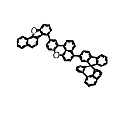 c1ccc2c(c1)-c1ccc(-c3ccc4c5c(cccc35)-c3cc(-c5cccc6oc7c8ccccc8ccc7c56)ccc3O4)cc1C21c2ccccc2-c2cccc3cccc1c23